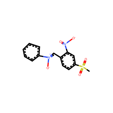 CS(=O)(=O)c1ccc(/C=[N+](\[O-])c2ccccc2)c([N+](=O)[O-])c1